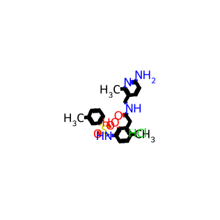 Cc1cccc(S(=O)(=O)Nc2ccc(C)c(CC(=O)NCc3ccc(N)nc3C)c2O)c1.Cl